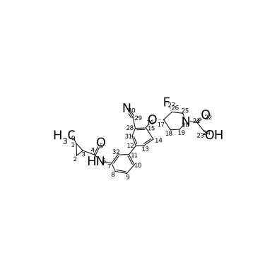 CC1CC1C(=O)Nc1cccc(-c2ccc(O[C@H]3CCN(C(=O)CO)C[C@H]3F)c(C#N)c2)c1